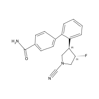 N#CN1C[C@@H](F)[C@H](c2ccccc2-c2ccc(C(N)=O)cc2)C1